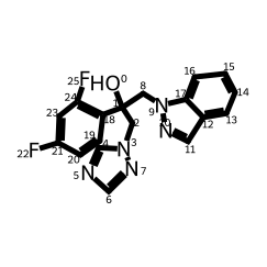 OC(Cn1cncn1)(Cn1ncc2ccccc21)c1ccc(F)cc1F